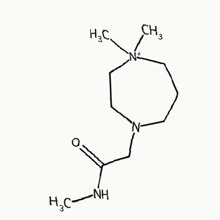 CNC(=O)CN1CCC[N+](C)(C)CC1